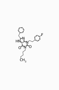 CCCCCn1c(=O)c2[nH]c(Cc3ccccc3)nc2n(CCc2ccc(F)cc2)c1=O